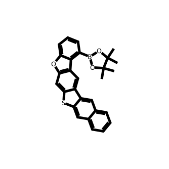 CC1(C)OB(c2cccc3oc4cc5sc6cc7ccccc7cc6c5cc4c23)OC1(C)C